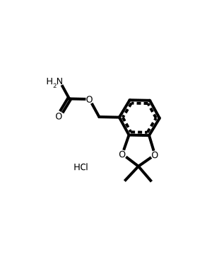 CC1(C)Oc2cccc(COC(N)=O)c2O1.Cl